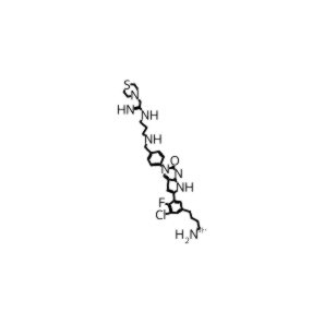 C[C@H](N)CCCc1cc(Cl)c(F)c(-c2cc3cn(-c4ccc(CNCCCNC(=N)CN5CCSCC5)cc4)c(=O)nc3[nH]2)c1